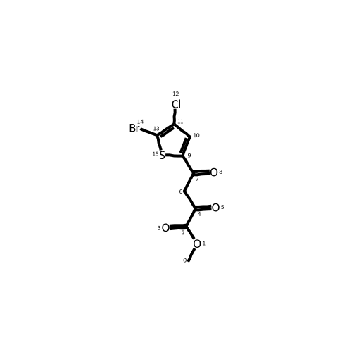 COC(=O)C(=O)CC(=O)c1cc(Cl)c(Br)s1